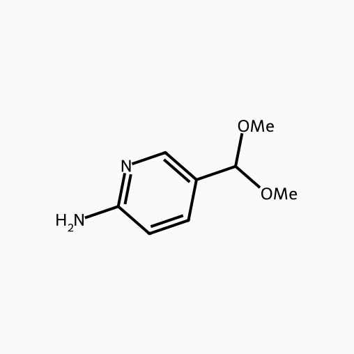 COC(OC)c1ccc(N)nc1